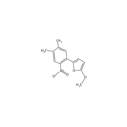 COc1ccc(-c2cc(C)c(C)cc2[N+](=O)[O-])o1